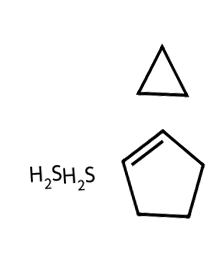 C1=CCCC1.C1CC1.S.S